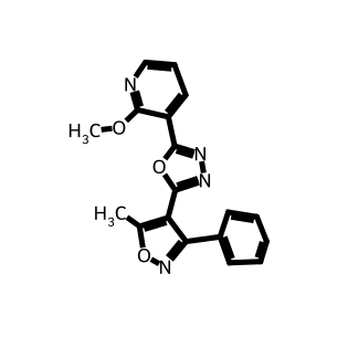 COc1ncccc1-c1nnc(-c2c(-c3ccccc3)noc2C)o1